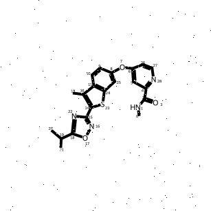 CNC(=O)c1cc(Oc2ccc3c(C)c(-c4noc(C(C)C)n4)sc3c2)ccn1